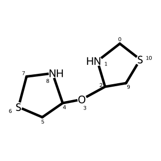 C1NC(OC2CSCN2)CS1